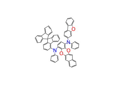 c1ccc(N(c2ccc3c(c2)oc2ccccc23)c2ccc(N(c3ccccc3)c3cccc4c3-c3ccccc3C43c4ccccc4-c4ccccc43)c3c2Oc2cc4ccccc4cc2O3)cc1